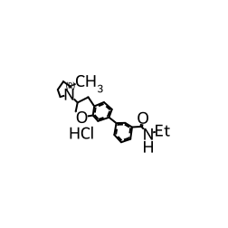 CCNC(=O)c1cccc(-c2ccc3c(c2)OCC(N2CCC[C@H]2C)C3)c1.Cl